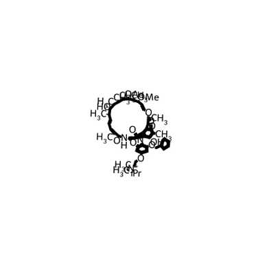 CO[C@H]1/C=C/O[C@@]2(C)Oc3c(C)c(O)c4c(=O)c(c5oc6cc(OCC[N+](C)(C)C(C)C)cc(OCc7ccccc7)c6nc-5c4c3C2=O)NC(=O)/C(C)=C\C=C\[C@H](C)[C@H](O)[C@@H](C)[C@@H](C)[C@@H](C)[C@H](OC(C)=O)[C@@H]1C